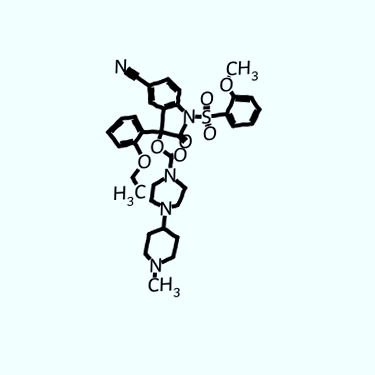 CCOc1ccccc1C1(OC(=O)N2CCN(C3CCN(C)CC3)CC2)C(=O)N(S(=O)(=O)c2ccccc2OC)c2ccc(C#N)cc21